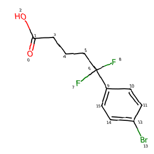 O=C(O)CCCC(F)(F)c1ccc(Br)cc1